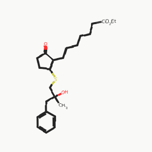 CCOC(=O)CCCCCCC1C(=O)CCC1SCC(C)(O)Cc1ccccc1